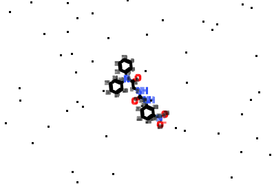 O=C(NCC(=O)N(c1ccccc1)c1ccccc1)Nc1cccc([N+](=O)[O-])c1